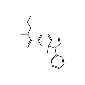 C=CC(c1ccccc1)C1(C)C=CC=C(C(=O)N(C)CCC)C1